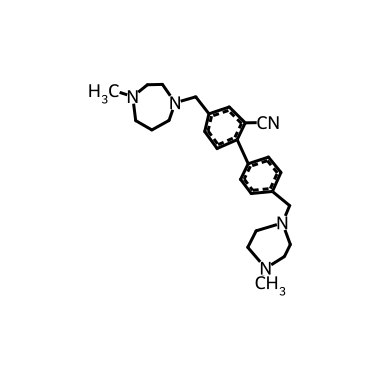 CN1CCCN(Cc2ccc(-c3ccc(CN4CCN(C)CC4)cc3)c(C#N)c2)CC1